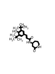 CC(C)(C)c1cc(C=CC(=O)NC2CCCNC(=O)C2)cc(C(C)(C)C)c1O